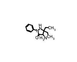 CCC1(CC)NN(c2ccccc2)C(=O)C1N